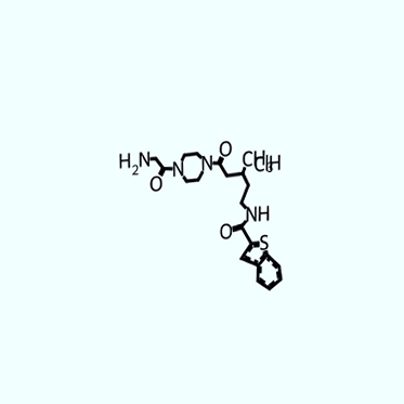 CC(CCNC(=O)c1cc2ccccc2s1)CC(=O)N1CCN(C(=O)CN)CC1.Cl